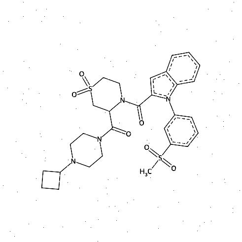 CS(=O)(=O)c1cccc(-n2c(C(=O)N3CCS(=O)(=O)CC3C(=O)N3CCN(C4CCC4)CC3)cc3ccccc32)c1